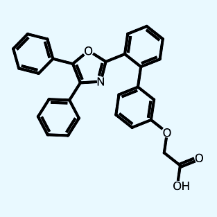 O=C(O)COc1cccc(-c2ccccc2-c2nc(-c3ccccc3)c(-c3ccccc3)o2)c1